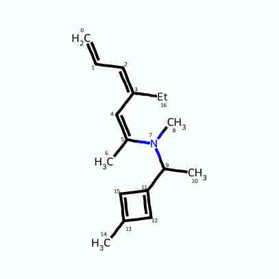 C=C/C=C(\C=C(\C)N(C)C(C)C1=CC(C)=C1)CC